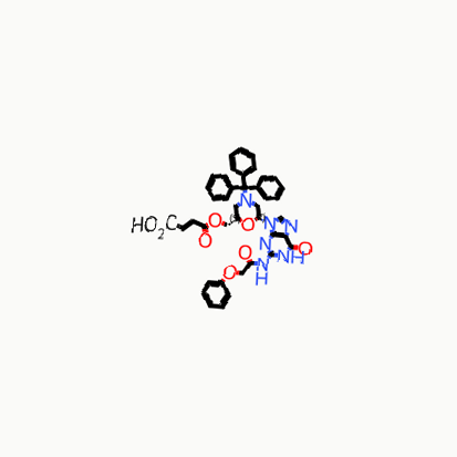 O=C(O)CCC(=O)OC[C@@H]1CN(C(c2ccccc2)(c2ccccc2)c2ccccc2)C[C@H](n2cnc3c(=O)[nH]c(NC(=O)COc4ccccc4)nc32)O1